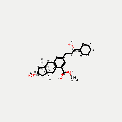 COC(=O)c1cc(CC[C@H](O)C2CCCCC2)cc2c1C[C@H]1C[C@H](O)C[C@H]1C2